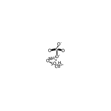 O=S(=O)([O-])O.O=S(=O)([O-])[O-].[Cd+2].[NH4+]